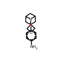 Nc1ccc(N2CC3CC(C2)N3C2COC2)cc1